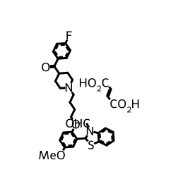 COc1ccc(OCCCCN2CCC(C(=O)c3ccc(F)cc3)CC2)c(C2Sc3ccccc3N2C=O)c1.O=C(O)/C=C/C(=O)O